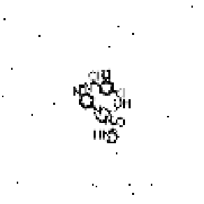 CC(c1ccc(Cl)cc1Cl)n1cnc2ccc(N3CCN(C(=O)[C@H]4CCCN4)[C@H](CO)C3)cc21